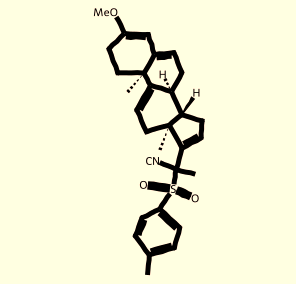 [C-]#[N+]C(C)(C1=CC[C@H]2[C@@H]3CC=C4C=C(OC)CC[C@]4(C)C3=CC[C@]12C)S(=O)(=O)c1ccc(C)cc1